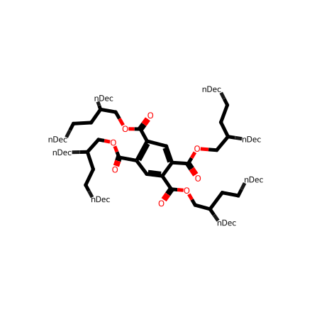 CCCCCCCCCCCCC(CCCCCCCCCC)COC(=O)c1cc(C(=O)OCC(CCCCCCCCCC)CCCCCCCCCCCC)c(C(=O)OCC(CCCCCCCCCC)CCCCCCCCCCCC)cc1C(=O)OCC(CCCCCCCCCC)CCCCCCCCCCCC